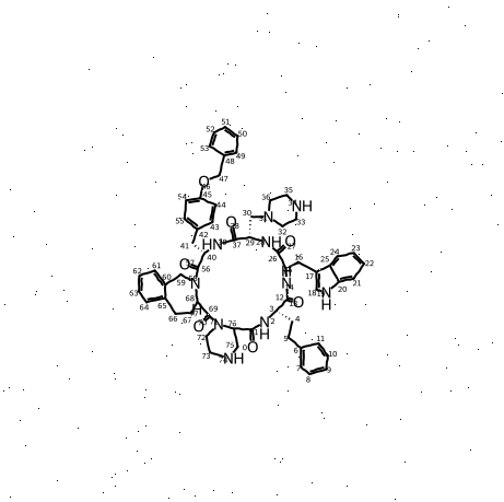 O=C1N[C@@H](CCc2ccccc2)C(=O)N[C@H](Cc2c[nH]c3ccccc23)C(=O)N[C@@H](CN2CCNCC2)C(=O)N[C@@H](Cc2ccc(OCc3ccccc3)cc2)C(=O)N2Cc3ccccc3CC[C@H]2C(=O)N2CCNCC12